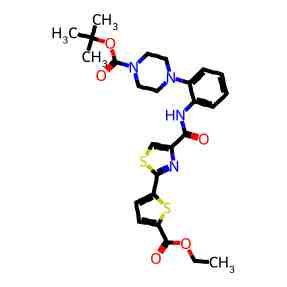 CCOC(=O)c1ccc(-c2nc(C(=O)Nc3ccccc3N3CCN(C(=O)OC(C)(C)C)CC3)cs2)s1